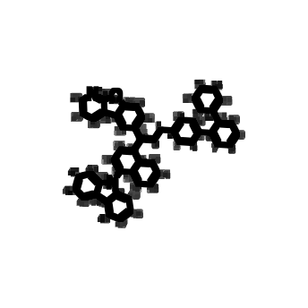 C(/Cc1ccc(-c2ccccc2-c2ccccc2)cc1)=C(/c1ccc2oc3ncccc3c2c1)c1ccc(-n2c3ccccc3c3ccccc32)c2ccccc12